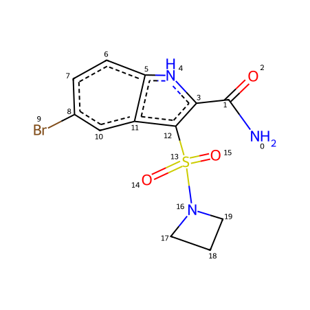 NC(=O)c1[nH]c2ccc(Br)cc2c1S(=O)(=O)N1CCC1